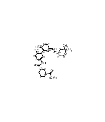 COC(=O)N1CCC[C@H](C(=O)Nc2cc(-c3nc(NC[C@@H]4CCOC(C)(C)C4)cnc3Cl)c(Cl)cn2)C1